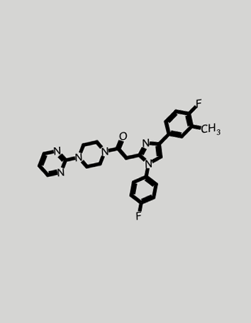 Cc1cc(-c2cn(-c3ccc(F)cc3)c(CC(=O)N3CCN(c4ncccn4)CC3)n2)ccc1F